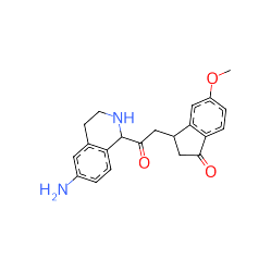 COc1ccc2c(c1)C(CC(=O)C1NCCc3cc(N)ccc31)CC2=O